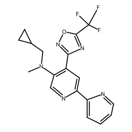 CN(CC1CC1)c1cnc(-c2ccccn2)cc1-c1noc(C(F)(F)F)n1